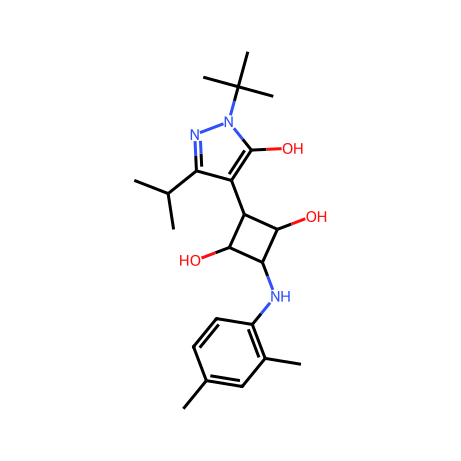 Cc1ccc(NC2C(O)C(c3c(C(C)C)nn(C(C)(C)C)c3O)C2O)c(C)c1